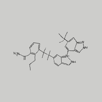 CCCc1c(NN)cccc1C(C)(C)C(C)(C)c1ccc2c[nH][n+](-c3cc(C(C)(C)C)cc4n[nH]cc34)c2c1